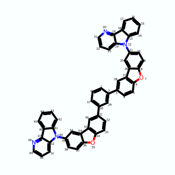 c1cc(-c2ccc3oc4ccc(-n5c6ccccc6c6ncccc65)cc4c3c2)cc(-c2ccc3oc4ccc(-n5c6ccccc6c6ncccc65)cc4c3c2)c1